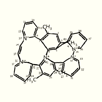 Cc1cc(C)c2c3c1c1cccc[n+]1cc[n+]1ccccc1c1c(C)cc(C)c(c4cccc[n+]4[n+]4ccccc24)[n+]13